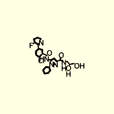 O=C(NCC(O)CO)c1cc(NC(=O)c2cc(-c3ncccc3F)ccc2Cl)n(-c2ccccc2)n1